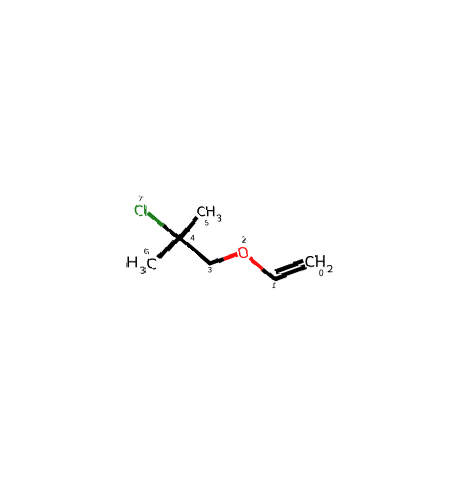 C=COCC(C)(C)Cl